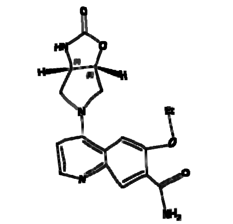 CCOc1cc2c(N3C[C@@H]4NC(=O)O[C@@H]4C3)ccnc2cc1C(N)=O